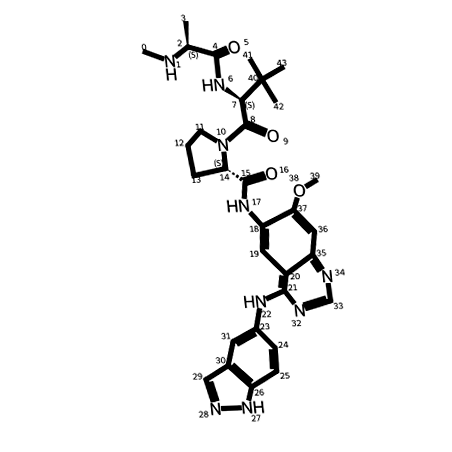 CN[C@@H](C)C(=O)N[C@H](C(=O)N1CCC[C@H]1C(=O)Nc1cc2c(Nc3ccc4[nH]ncc4c3)ncnc2cc1OC)C(C)(C)C